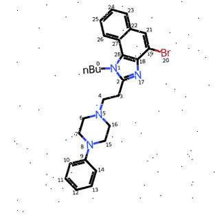 CCCCn1c(CCN2CCN(c3ccccc3)CC2)nc2c(Br)cc3ccccc3c21